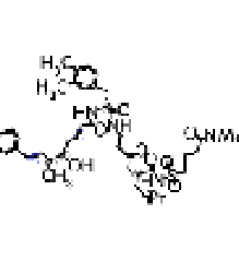 CNC(=O)CCCS(=O)(=O)NC(=O)[C@@H](CC(=O)CCNC(=O)[C@@H](Cc1ccc(C)c(C)c1)NC(=O)/C=C/C[C@H](O)[C@H](C)/C=C/c1ccccc1)CC(C)C